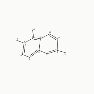 [CH2]c1c(C)ccc2cc(C)ccc12